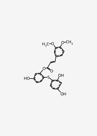 COc1ccc(C=CC(=O)Oc2cc(O)ccc2Sc2ccc(O)cc2O)cc1OC